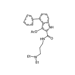 CCN(CC)CCCNC(=O)c1[nH]c2cccc(-c3ccccc3)c2c1OC(C)=O